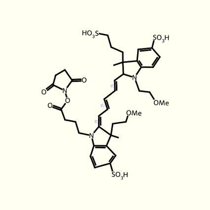 COCCN1c2ccc(S(=O)(=O)O)cc2C(C)(CCCS(=O)(=O)O)C1/C=C/C=C/C=C1/N(CCCC(=O)ON2C(=O)CCC2=O)c2ccc(S(=O)(=O)O)cc2C1(C)CCOC